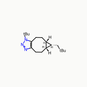 CC(C)(C)C[C@@H]1[C@@H]2CCc3nnn(C(C)(C)C)c3CC[C@@H]21